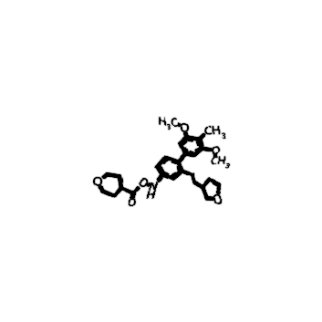 COc1cc(-c2ccc(NOC(=O)C3CCOCC3)cc2CCC2CCOC2)cc(OC)c1C